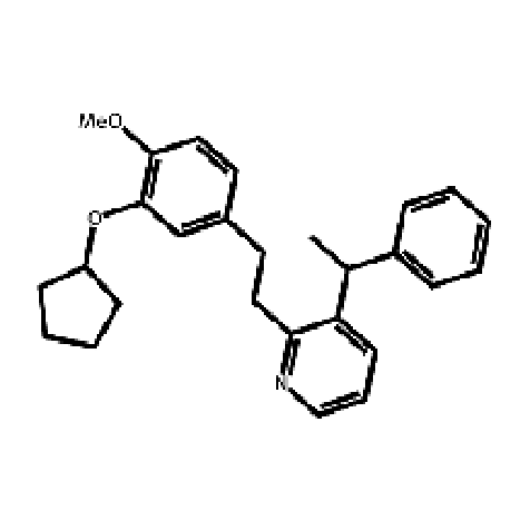 COc1ccc(CCc2ncccc2C(C)c2ccccc2)cc1OC1CCCC1